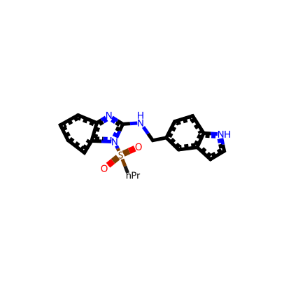 CCCS(=O)(=O)n1c(NCc2ccc3[nH]ccc3c2)nc2ccccc21